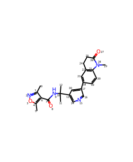 Cc1noc(C)c1C(=O)NC(C)(C)c1cncc(-c2ccc3c(c2)CCC(=O)N3C)c1